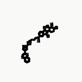 O=C1CCC(N2C(=O)c3ccc(NCCCN4CC(n5cc(-c6cnc7ccccc7n6)cn5)C4)cc3C2=O)C(=O)N1